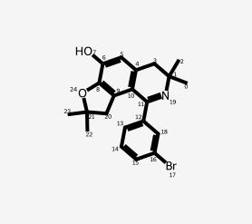 CC1(C)Cc2cc(O)c3c(c2C(c2cccc(Br)c2)=N1)CC(C)(C)O3